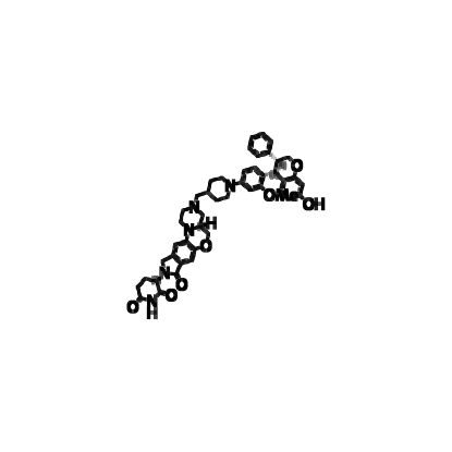 COc1cc(N2CCC(CN3CCN4c5cc6c(cc5OC[C@H]4C3)C(=O)N([C@@H]3CCC(=O)NC3=O)C6)CC2)ccc1[C@H]1c2ccc(O)cc2OC[C@H]1c1ccccc1